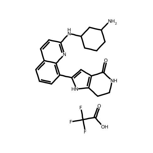 NC1CCCC(Nc2ccc3cccc(-c4cc5c([nH]4)CCNC5=O)c3n2)C1.O=C(O)C(F)(F)F